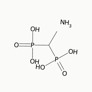 CC(P(=O)(O)O)P(=O)(O)O.N